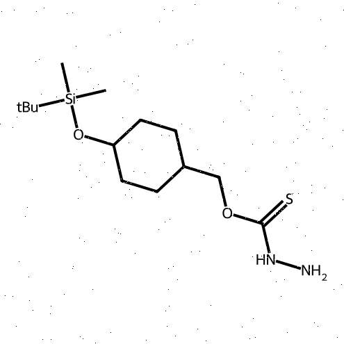 CC(C)(C)[Si](C)(C)OC1CCC(COC(=S)NN)CC1